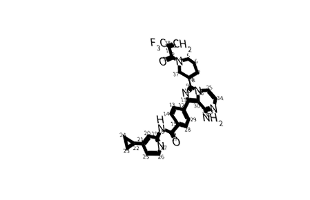 C=C(C(=O)N1CCC[C@@H](c2nc(-c3ccc(C(=O)Nc4cc(C5CC5)ccn4)cc3)c3c(N)nccn23)C1)C(F)(F)F